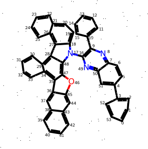 c1ccc(-c2ccc3nc(-c4ccccc4)c(-n4c5ccc6ccccc6c5c5c6ccccc6c6c7cc8ccccc8cc7oc6c54)nc3c2)cc1